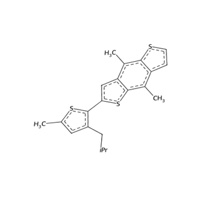 Cc1cc(CC(C)C)c(-c2cc3c(C)c4sccc4c(C)c3s2)s1